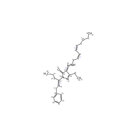 CCOC/C=C\C=C/CN/N=C1/C(=O)N(/C(=N/Cc2ccccc2)SCC)N=C1CC